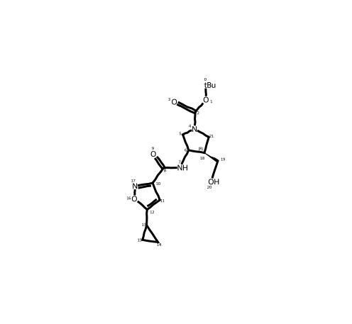 CC(C)(C)OC(=O)N1CC(NC(=O)c2cc(C3CC3)on2)[C@H](CO)C1